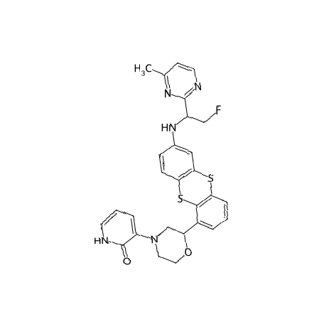 Cc1ccnc(C(CF)Nc2ccc3c(c2)Sc2cccc(C4CN(c5ccc[nH]c5=O)CCO4)c2S3)n1